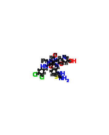 CC(C)N(C(=O)NCc1ccc(Cl)c(Cl)c1)N1CC(=O)N2[C@@H](Cc3ccc(O)cn3)C(=O)N(Cc3cccc4c3NC(N)S4)C[C@@H]21